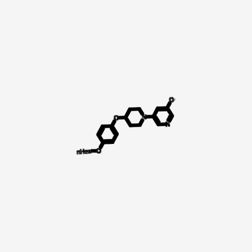 CCCCCCOc1ccc(OC2CCN(c3cncc([O])c3)CC2)cc1